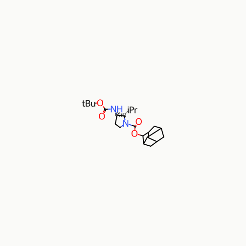 CC(C)[C@H]1[C@H](NC(=O)OC(C)(C)C)CCN1C(=O)OC1C2CC3CC(C2)CC1C3